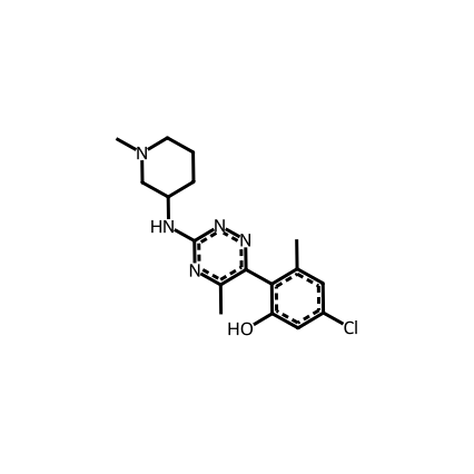 Cc1cc(Cl)cc(O)c1-c1nnc(NC2CCCN(C)C2)nc1C